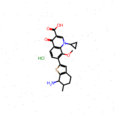 COc1c(-c2cc3c(s2)C(N)C(C)CC3)ccc2c(=O)c(C(=O)O)cn(C3CC3)c12.Cl